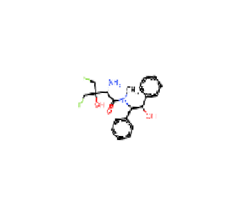 CN(C(=O)[C@@H](N)C(O)(CF)CF)[C@H](c1ccccc1)[C@H](O)c1ccccc1